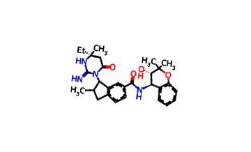 CC[C@]1(C)CC(=O)N([C@H]2c3cc(C(=O)N[C@@H]4c5ccccc5OC(C)(C)[C@H]4O)ccc3CC2C)C(=N)N1